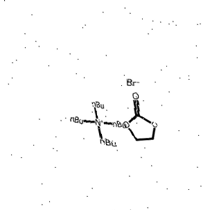 CCCC[N+](CCCC)(CCCC)CCCC.O=C1OCCO1.[Br-]